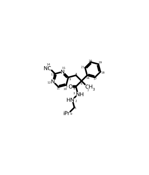 CC(C)CNNC(=O)C(C)(Cc1ccnc(C#N)n1)c1ccccc1